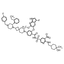 CCc1ccccc1[C@@H]1CN(Cc2ccc(F)cc2)CCN1C1CC2(CCN(c3ccc(C(=O)NS(=O)(=O)c4cnc(NCC5CCC(C)(O)CC5)c([N+](=O)[O-])c4)c(Oc4cc5c(F)c[nH]c5nc4OC)c3)CC2)C1